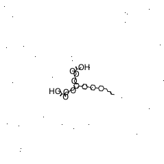 C=C(CO)C(=O)OCCOc1cc(OCCOC(=O)C(=C)CO)cc(-c2ccc(C3=CCC(C4CCC(CC/C=C/C)CC4)CC3)cc2)c1